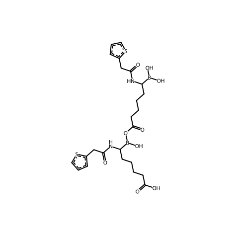 O=C(O)CCCCC(NC(=O)Cc1cccs1)B(O)OC(=O)CCCCC(NC(=O)Cc1cccs1)B(O)O